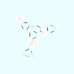 O=c1c(Cc2cccnc2)cn2c3cc(Br)ccc3c3cc(OCc4cncnc4)cc1c32